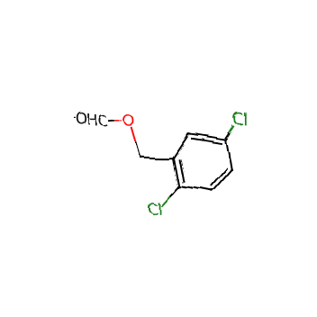 O=[C]OCc1cc(Cl)ccc1Cl